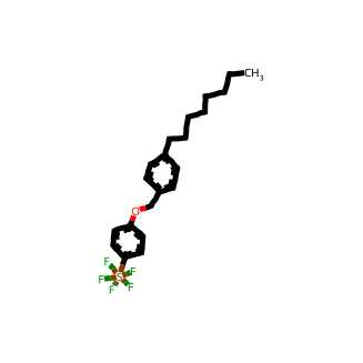 CCCCCCCCc1ccc(COc2ccc(S(F)(F)(F)(F)F)cc2)cc1